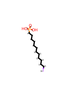 O=P(O)(O)CCCCCCCCCCCCI